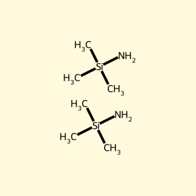 C[Si](C)(C)N.C[Si](C)(C)N